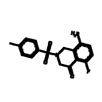 Bc1ccc(F)c2c1CN(S(=O)(=O)c1ccc(C)cc1)CC2=O